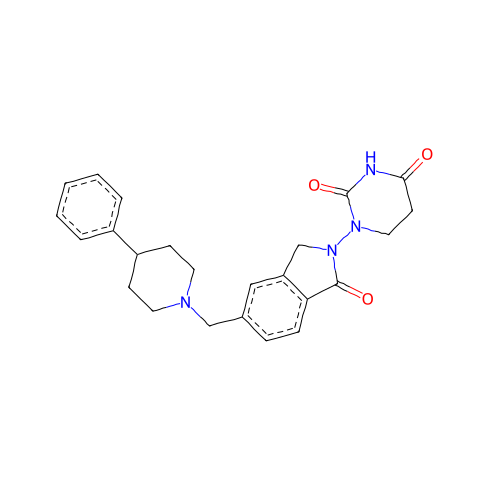 O=C1CCN(N2Cc3cc(CN4CCC(c5ccccc5)CC4)ccc3C2=O)C(=O)N1